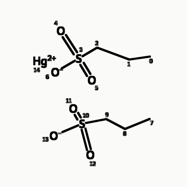 CCCS(=O)(=O)[O-].CCCS(=O)(=O)[O-].[Hg+2]